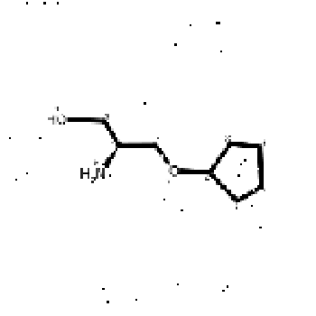 N[C@@H](CO)COC1CCCC1